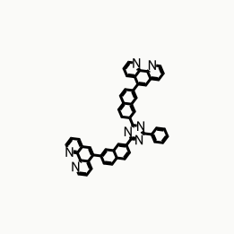 C1=CC2C=CC(c3cc4cccnc4c4ncccc34)=CC2C=C1c1nc(-c2ccccc2)nc(C2C=c3cc(-c4cc5cccnc5c5ncccc45)ccc3=CC2)n1